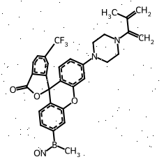 C=C(C)C(=C)N1CCN(c2ccc3c(c2)Oc2cc(B(C)N=O)ccc2C32OC(=O)c3ccc(C(F)(F)F)cc32)CC1